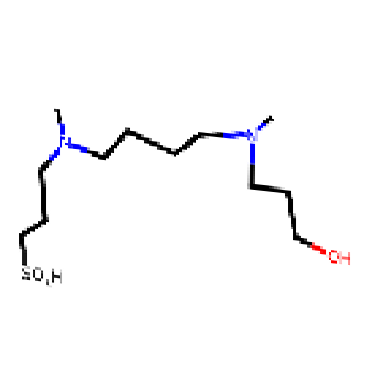 CN(CCCO)CCCCN(C)CCCS(=O)(=O)O